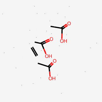 C=C.CC(=O)O.CC(=O)O.CC(=O)O